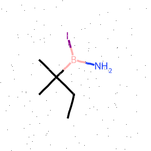 CCC(C)(C)B(N)I